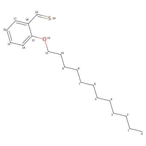 CCCCCCCCCCCCOc1ccccc1[C]=S